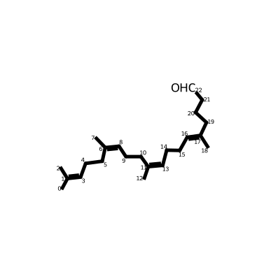 CC(C)=CCCC(C)=CCCC(C)=CCCC=C(C)CCCC=O